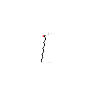 CCCCCCCCCCCCCCCCCC(=O)CCCC